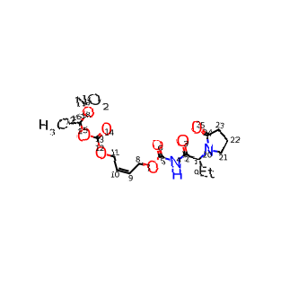 CC[C@@H](C(=O)NC(=O)OC/C=C\COC(=O)OC(C)O[N+](=O)[O-])N1CCCC1=O